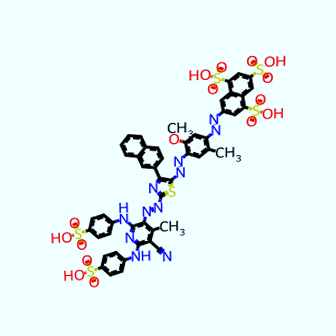 COc1cc(/N=N/c2cc(S(=O)(=O)O)c3cc(S(=O)(=O)O)cc(S(=O)(=O)O)c3c2)c(C)cc1/N=N/c1sc(/N=N/c2c(Nc3ccc(S(=O)(=O)O)cc3)nc(Nc3ccc(S(=O)(=O)O)cc3)c(C#N)c2C)nc1-c1ccc2ccccc2c1